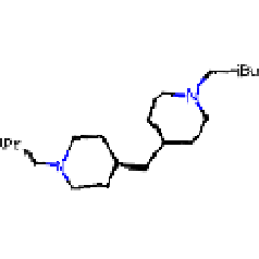 CCC(C)CN1CCC(CC2CCN(CC(C)C)CC2)CC1